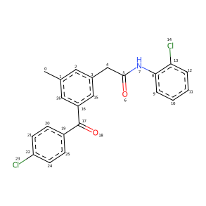 Cc1cc(CC(=O)Nc2ccccc2Cl)cc(C(=O)c2ccc(Cl)cc2)c1